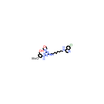 COc1cc(CO)cc(Nc2nc(NCCCCCCCCNc3ccnc4cc(Cl)ccc34)nc(N3CCOCC3)n2)c1